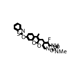 CNS(=O)(=O)Nc1nccc(Cc2c(C)c3ccc(Oc4nc5ccccc5s4)cc3oc2=O)c1F